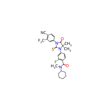 CN(C(=O)c1ccc(N2C(=S)N(c3ccc(C#N)c(C(F)(F)F)c3)C(=O)C2(C)C)cc1F)C1CCCCC1